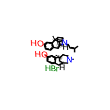 Br.CC(C)=CCN1CC[C@@]2(C)c3cc(O)ccc3C[C@@H]1[C@@H]2C.CN1CC[C@]2(C)C[C@@H](Cc3ccc(O)cc32)C1